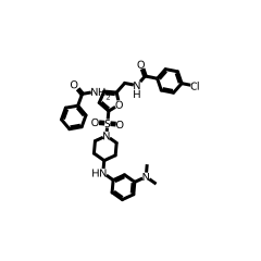 CN(C)c1cccc(NC2CCN(S(=O)(=O)c3ccc(CNC(=O)c4ccc(Cl)cc4)o3)CC2)c1.NC(=O)c1ccccc1